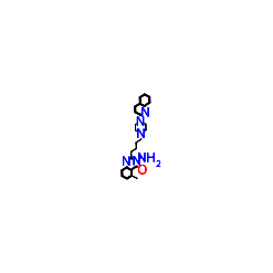 Cc1cccc2nc(CCCCN3CCN(c4ccc5ccccc5n4)CC3)n(N)c(=O)c12